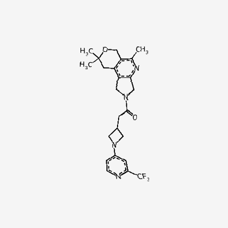 Cc1nc2c(c3c1COC(C)(C)C3)CN(C(=O)CC1CN(c3ccnc(C(F)(F)F)c3)C1)C2